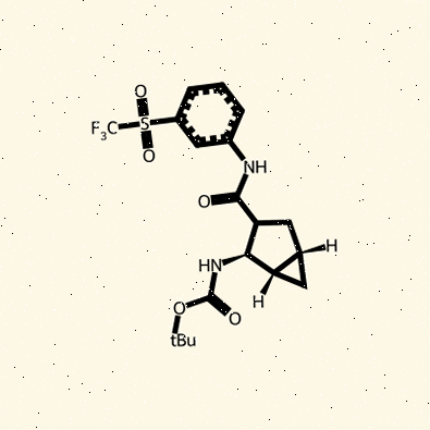 CC(C)(C)OC(=O)N[C@H]1C(C(=O)Nc2cccc(S(=O)(=O)C(F)(F)F)c2)C[C@@H]2C[C@@H]21